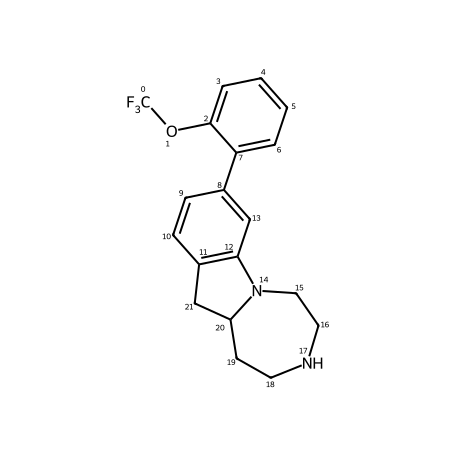 FC(F)(F)Oc1ccccc1-c1ccc2c(c1)N1CCNCCC1C2